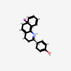 BrC1=CC[C@@H](C2=NC3=C4C=CC=CC4(I)CC=C3CC2)C=C1